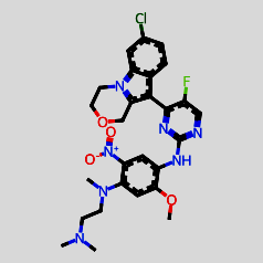 COc1cc(N(C)CCN(C)C)c([N+](=O)[O-])cc1Nc1ncc(F)c(-c2c3n(c4cc(Cl)ccc24)CCOC3)n1